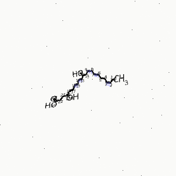 CC/C=C\CC/C=C/C=C\CC(O)/C=C/C=C/C=C[C@@H](O)CCC(=O)O